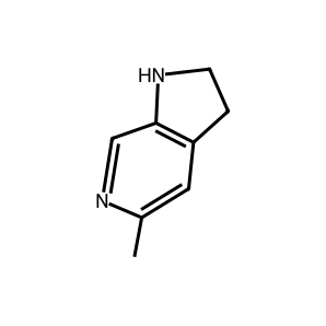 Cc1cc2c(cn1)NCC2